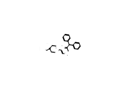 OCC1(F)CCN(c2cncc(C(c3ccccc3)c3ccccc3)n2)CC1